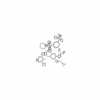 CN(C)S(=O)(=O)c1cccc(S(=O)(=O)N2CCCC[C@H]2C(=O)O[C@@H](Cc2c(Cl)cncc2Cl)c2ccc(OC(F)F)c(OCC3CC3)c2)c1